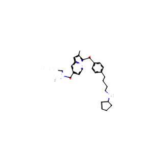 CCc1cc2cc(C(=O)N(CC(=O)O)C(C)C)ccn2c1C(=O)c1ccc(CCCCNC2CCCC2)cc1